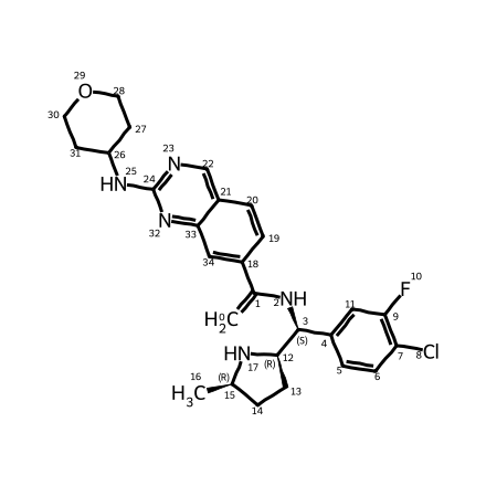 C=C(N[C@@H](c1ccc(Cl)c(F)c1)[C@H]1CC[C@@H](C)N1)c1ccc2cnc(NC3CCOCC3)nc2c1